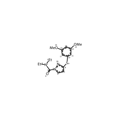 CCN(CC)C(=O)n1ccc(Sc2cc(OC)cc(OC)c2)n1